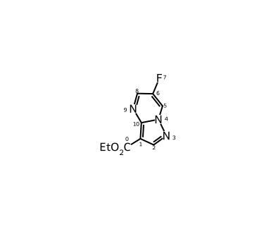 CCOC(=O)c1cnn2cc(F)cnc12